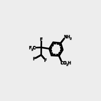 Nc1cc(C(=O)O)cc(C(F)(C(F)F)C(F)(F)F)c1